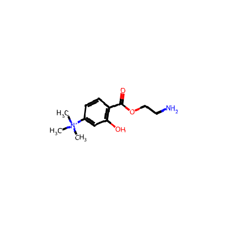 C[N+](C)(C)c1ccc(C(=O)OCCN)c(O)c1